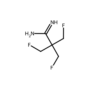 N=C(N)C(CF)(CF)CF